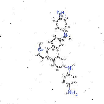 CN(c1ccc(N)cc1)c1ccc(-c2ccn(C)c2-c2ccc(N(C)c3ccc(N)cc3)cc2)cc1